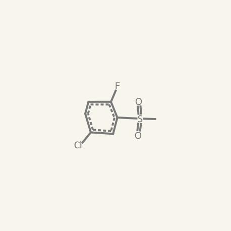 CS(=O)(=O)c1cc(Cl)ccc1F